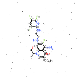 CC1COc2c(NCCNc3nc(F)c(F)cc3F)c(F)c(N)c3c(=O)c(C(=O)O)cn1c23